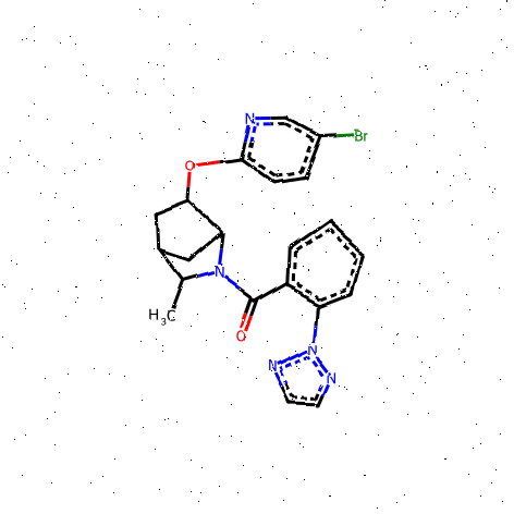 CC1C2CC(Oc3ccc(Br)cn3)C(C2)N1C(=O)c1ccccc1-n1nccn1